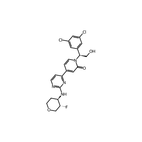 O=c1cc(-c2ccnc(N[C@@H]3CCOC[C@H]3F)n2)ccn1[C@H](CO)c1cc(Cl)cc(Cl)c1